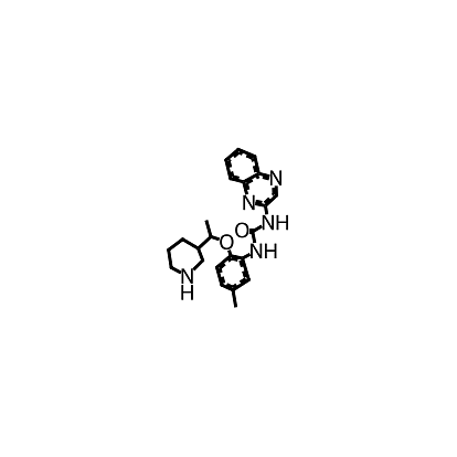 Cc1ccc(OC(C)C2CCCNC2)c(NC(=O)Nc2cnc3ccccc3n2)c1